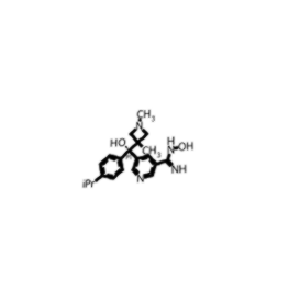 CC(C)c1ccc([C@](O)(c2cncc(C(=N)NO)c2)C2(C)CN(C)C2)cc1